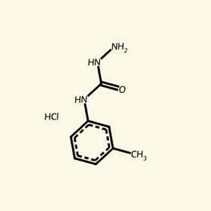 Cc1cccc(NC(=O)NN)c1.Cl